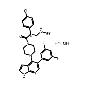 CC(C)NC[C@@H](C(=O)N1CCN(c2c(-c3cc(F)cc(F)c3)cnc3[nH]ccc23)CC1)c1ccc(Cl)cc1.Cl.Cl